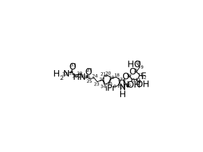 CC(C)c1[nH]nc(OC2OC(CO)C(F)C(O)C2O)c1Cc1ccc(CCCC(=O)NCCC(N)=O)cc1